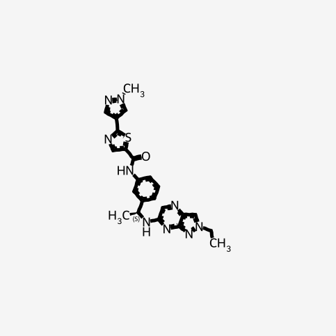 CCn1cc2ncc(N[C@@H](C)c3cccc(NC(=O)c4cnc(-c5cnn(C)c5)s4)c3)nc2n1